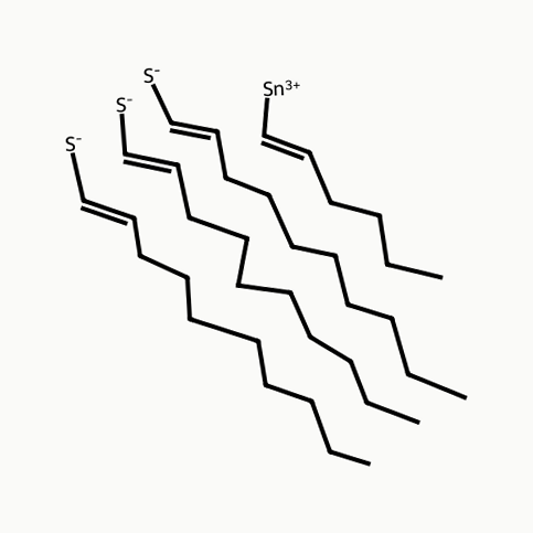 CCCCC=[CH][Sn+3].CCCCCCCCC=C[S-].CCCCCCCCC=C[S-].CCCCCCCCC=C[S-]